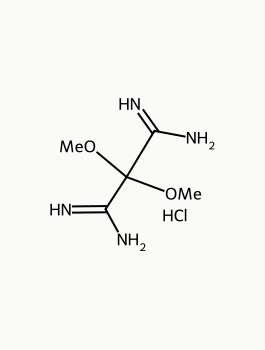 COC(OC)(C(=N)N)C(=N)N.Cl